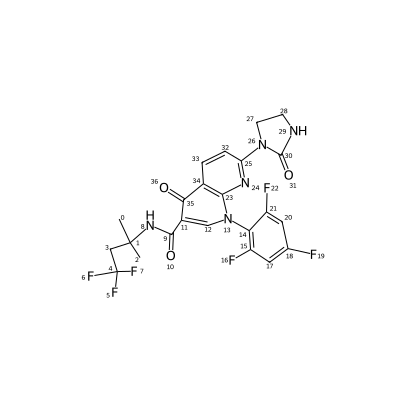 CC(C)(CC(F)(F)F)NC(=O)c1cn(-c2c(F)cc(F)cc2F)c2nc(N3CCNC3=O)ccc2c1=O